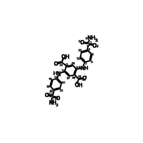 NS(=O)(=O)c1ccc(Nc2cc(C(=O)O)c(Nc3ccc(S(N)(=O)=O)cc3)cc2C(=O)O)cc1